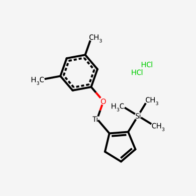 Cc1cc(C)cc([O][Ti][C]2=C([Si](C)(C)C)C=CC2)c1.Cl.Cl